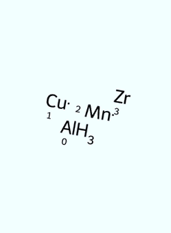 [AlH3].[Cu].[Mn].[Zr]